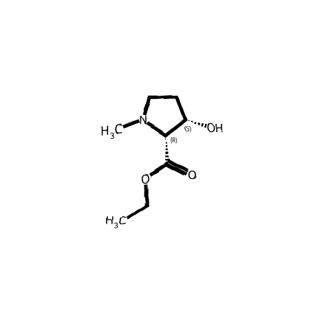 CCOC(=O)[C@H]1[C@@H](O)CCN1C